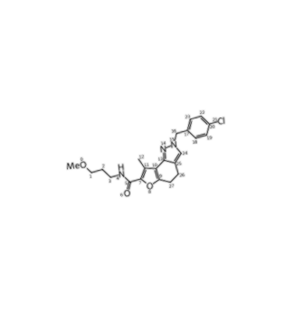 COCCCNC(=O)c1oc2c(c1C)-c1nn(Cc3ccc(Cl)cc3)cc1CC2